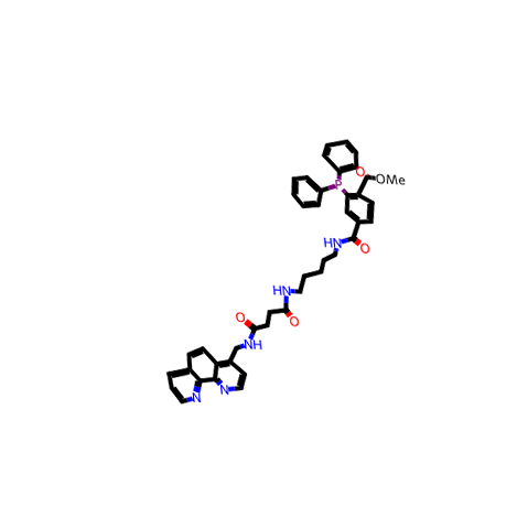 COC(=O)c1ccc(C(=O)NCCCCCNC(=O)CCC(=O)NCc2ccnc3c2ccc2cccnc23)cc1P(c1ccccc1)c1ccccc1